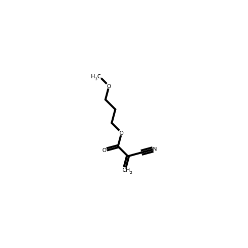 C=C(C#N)C(=O)OCCCOC